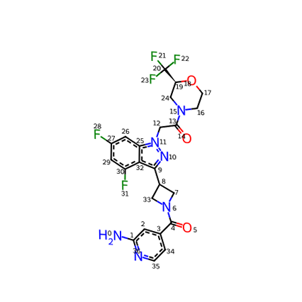 Nc1cc(C(=O)N2CC(c3nn(CC(=O)N4CCO[C@H](C(F)(F)F)C4)c4cc(F)cc(F)c34)C2)ccn1